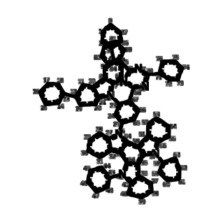 c1ccc(-c2ccc3c(c2)c2cc(-c4ccccc4)ccc2n3-c2cc(-n3c4ccccc4c4c5c(c6ccccc6n5-c5ccccc5)c5c(c6ccccc6n5-c5ccccc5)c43)ccc2-c2nc(-c3ccccc3)nc(-c3ccccc3)n2)cc1